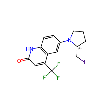 O=c1cc(C(F)(F)F)c2cc(N3CCC[C@@H]3CI)ccc2[nH]1